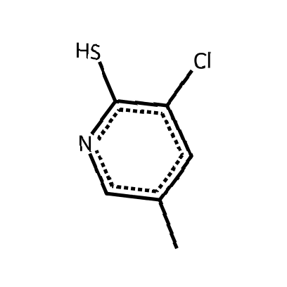 Cc1cnc(S)c(Cl)c1